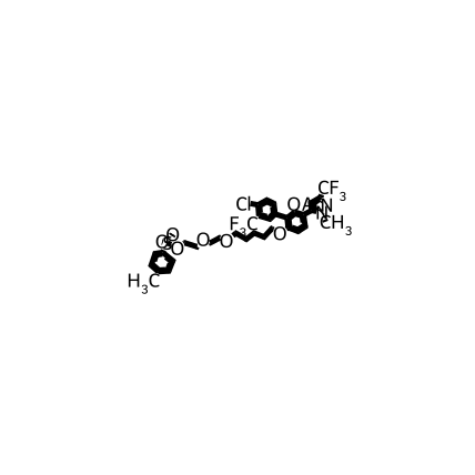 CC(=O)Oc1c(-c2cc(C(F)(F)F)nn2C)ccc(OCCCCCOCCOCCOS(=O)(=O)c2ccc(C)cc2)c1-c1ccc(Cl)c(C(F)(F)F)c1